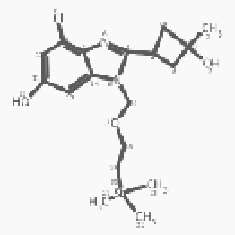 CC1(O)CC(c2nc3c(Cl)cc(O)cc3n2COCC[Si](C)(C)C)C1